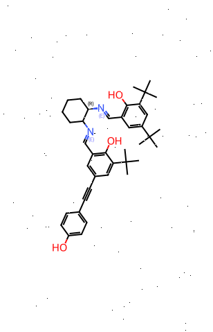 CC(C)(C)c1cc(/C=N/[C@@H]2CCCCC2/N=C/c2cc(C#Cc3ccc(O)cc3)cc(C(C)(C)C)c2O)c(O)c(C(C)(C)C)c1